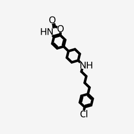 O=c1[nH]c2ccc(C3CCC(NCCCCc4ccc(Cl)cc4)CC3)cc2o1